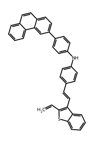 C=Cc1sc2ccccc2c1/C=C/c1ccc(Nc2ccc(-c3ccc4ccc5ccccc5c4c3)cc2)cc1